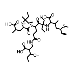 C=CC(CC(C)C(NC(CC)(CC)C(=O)C(CCC(=O)NCC(C(=O)O)C(O)CC)NC(=O)C(CC(C)C(=O)O)NC(C)(CC)CC)C(=O)O)SC